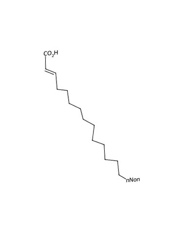 CCCCCCCCCCCCCCCCCCCCC=CC(=O)O